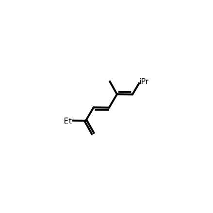 C=C(/C=C/C(C)=C/C(C)C)CC